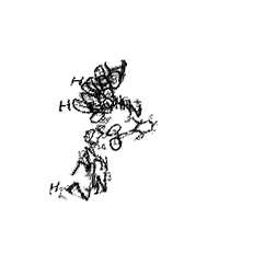 [N-]=[N+]=NCc1ccccc1C(=O)OC1C[C@H](n2cnc3c(N)ncnc32)O[C@@H]1COP(=O)(O)OP(=O)(O)OP(=O)(O)O